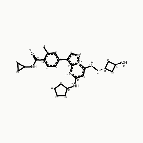 Cc1cc(-c2cnn3c(NC[C@H]4C[C@H](O)C4)cc(NC4CCCC4)nc23)ccc1C(=O)NC1CC1